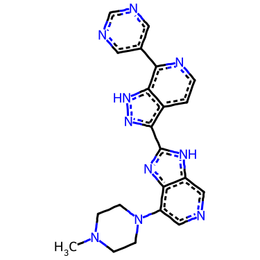 CN1CCN(c2cncc3[nH]c(-c4n[nH]c5c(-c6cncnc6)nccc45)nc23)CC1